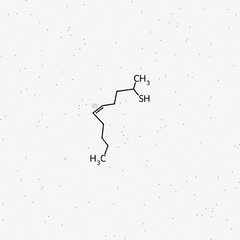 CCCC/C=C\CCC(C)S